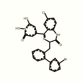 O=C1Nc2ccc(Cl)cc2C(c2cc(O)n(O)c(=O)c2)=NC1Cc1ccccc1-c1cccc(Br)c1